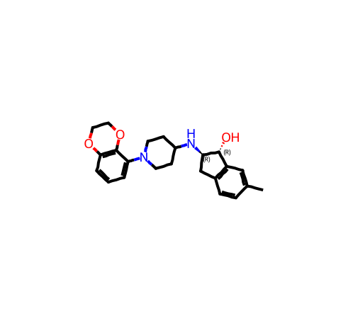 Cc1ccc2c(c1)[C@@H](O)[C@H](NC1CCN(c3cccc4c3OCCO4)CC1)C2